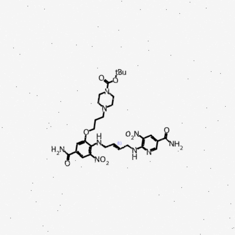 CC(C)(C)OC(=O)N1CCN(CCCOc2cc(C(N)=O)cc([N+](=O)[O-])c2NC/C=C/CNc2ncc(C(N)=O)cc2[N+](=O)[O-])CC1